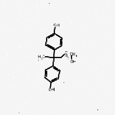 CCC(C)(c1ccc(O)cc1)c1ccc(O)cc1.CO